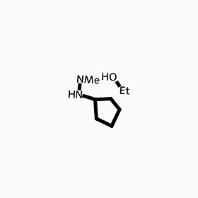 CCO.CNNC1CCCC1